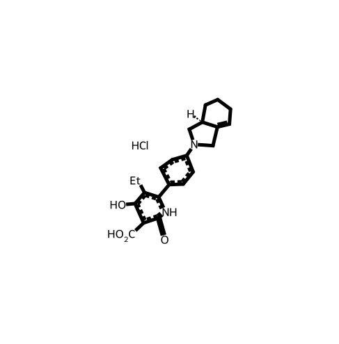 CCc1c(-c2ccc(N3CC4=CCCC[C@@H]4C3)cc2)[nH]c(=O)c(C(=O)O)c1O.Cl